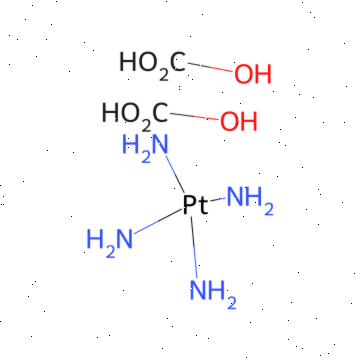 O=C(O)O.O=C(O)O.[NH2][Pt]([NH2])([NH2])[NH2]